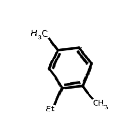 CCc1cc(C)[c]cc1C